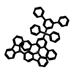 c1ccc(-c2cc(-c3ccccc3)cc([Si](c3ccccc3)(c3ccccc3)c3cc(-c4ccccc4)c(-n4c5ccccc5c5ccc(-n6c7ccccc7c7ccccc76)cc54)c(-c4ccccc4)c3)c2)cc1